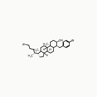 CC(C)CCC[C@@H](C)[C@H]1CC[C@H]2[C@@H]3CCC4[C@H](Cc5ccc(Br)cc5)[C@H](O)CC[C@]4(C)[C@H]3CC[C@]12C